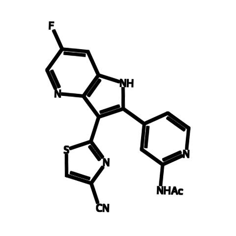 CC(=O)Nc1cc(-c2[nH]c3cc(F)cnc3c2-c2nc(C#N)cs2)ccn1